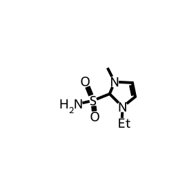 CCN1C=CN(C)C1S(N)(=O)=O